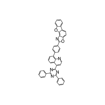 c1ccc(-c2nc(-c3ccccc3)nc(-c3ccnc4c(-c5ccc(-c6nc7c(ccc8c9ccccc9oc87)o6)cc5)cccc34)n2)cc1